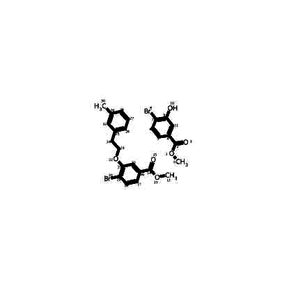 COC(=O)c1ccc(Br)c(O)c1.COC(=O)c1ccc(Br)c(OCCc2cccc(C)c2)c1